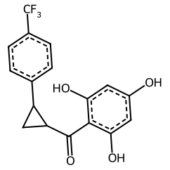 O=C(c1c(O)cc(O)cc1O)C1CC1c1ccc(C(F)(F)F)cc1